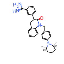 C[C@@H]1CCC[C@H](C)N1c1ccc(CN2C(=O)C(c3cccc(C(=N)N)c3)Cc3ccccc32)cc1